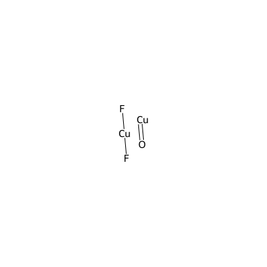 [F][Cu][F].[O]=[Cu]